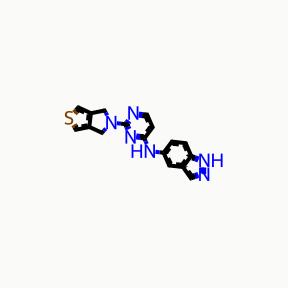 c1cc(Nc2ccc3[nH]ncc3c2)nc(N2Cc3cscc3C2)n1